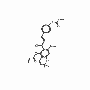 C=CC(=O)Oc1ccc(C=CC(=O)c2c(OC)cc3c(c2OC(=O)C=C)C=CC(C)(C)O3)cc1